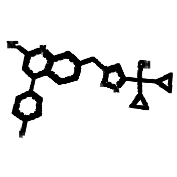 N#Cc1cc(-c2ccc(F)cc2)c2ccc(Cn3cc(C(O)(C4CC4)C4CC4)nn3)cc2n1